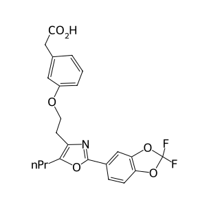 CCCc1oc(-c2ccc3c(c2)OC(F)(F)O3)nc1CCOc1cccc(CC(=O)O)c1